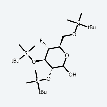 CC(C)(C)[Si](C)(C)OC[C@H]1OC(O)[C@H](O[Si](C)(C)C(C)(C)C)[C@@H](O[Si](C)(C)C(C)(C)C)[C@@H]1F